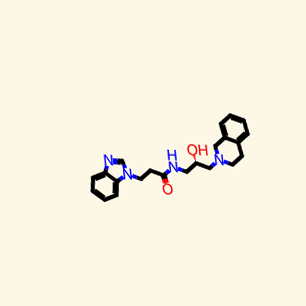 O=C(CCn1cnc2ccccc21)NC[C@H](O)CN1CCc2ccccc2C1